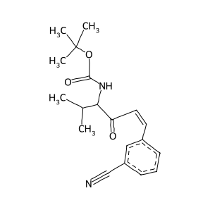 CC(C)C(NC(=O)OC(C)(C)C)C(=O)/C=C\c1cccc(C#N)c1